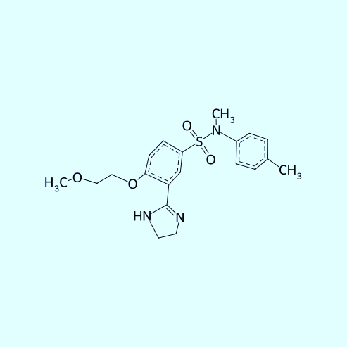 COCCOc1ccc(S(=O)(=O)N(C)c2ccc(C)cc2)cc1C1=NCCN1